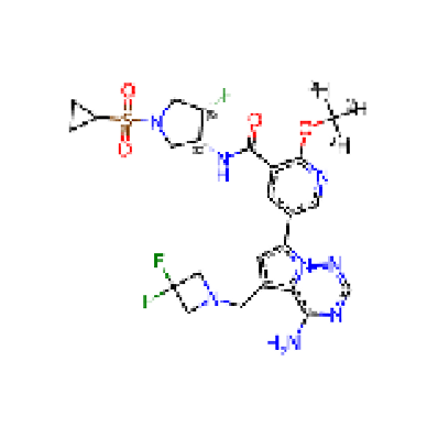 [2H]C([2H])([2H])Oc1ncc(-c2cc(CN3CC(F)(F)C3)c3c(N)ncnn23)cc1C(=O)N[C@@H]1CN(S(=O)(=O)C2CC2)C[C@@H]1F